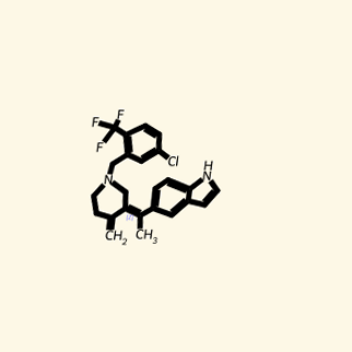 C=C1CCN(Cc2cc(Cl)ccc2C(F)(F)F)C/C1=C(/C)c1ccc2[nH]ccc2c1